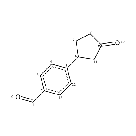 O=Cc1ccc(C2CCC(=O)C2)cc1